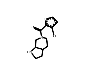 O=C(c1occc1Cl)N1CCC2CCNC2C1